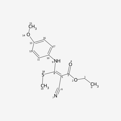 CCOC(=O)C(C#N)=C(Nc1ccc(OC)cc1)SC